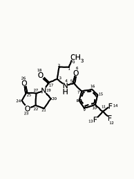 CCCC(NC(=O)c1ccc(C(F)(F)F)cc1)C(=O)N1CCC2OCC(=O)C21